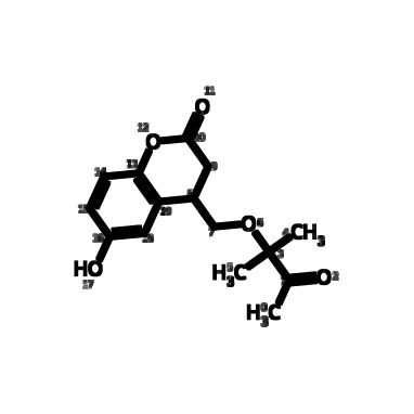 CC(=O)C(C)(C)OCC1CC(=O)Oc2ccc(O)cc21